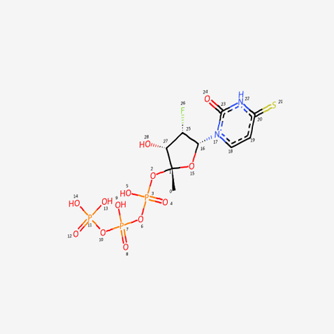 C[C@]1(OP(=O)(O)OP(=O)(O)OP(=O)(O)O)O[C@@H](n2ccc(=S)[nH]c2=O)[C@@H](F)[C@H]1O